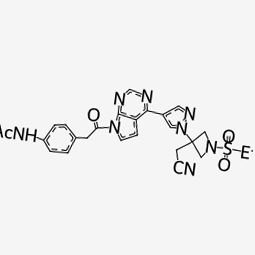 CCS(=O)(=O)N1CC(CC#N)(n2cc(-c3ncnc4c3ccn4C(=O)Cc3ccc(NC(C)=O)cc3)cn2)C1